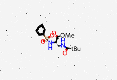 COC(=O)[C@H](CNC(=O)C(C)(C)C)NS(=O)(=O)c1ccccc1